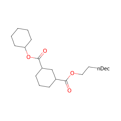 CCCCCCCCCCCCOC(=O)C1CCCC(C(=O)OC2CCCCC2)C1